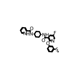 CSc1cccc(Oc2ncc(F)cc2C(=O)N[C@H]2CC[C@@H](NC(=O)c3ccccn3)CC2)c1